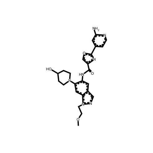 COCCn1ncc2cc(NC(=O)c3coc(-c4ccnc(N)c4)n3)c(N3CCC(O)CC3)cc21